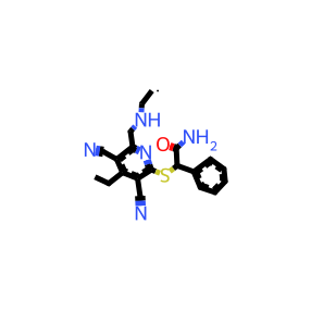 [CH2]CNCc1nc(SC(C(N)=O)c2ccccc2)c(C#N)c(CC)c1C#N